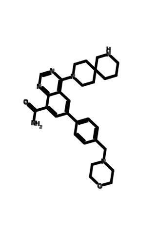 NC(=O)c1cc(-c2ccc(CN3CCOCC3)cc2)cc2c(N3CCC4(CCCNC4)CC3)ncnc12